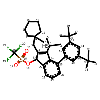 C[SiH](C)C1=C(CC2(C)CCCCC2)C(OS(=O)(=O)C(F)(F)F)c2cccc(-c3cc(C(C)(C)C)cc(C(C)(C)C)c3)c21